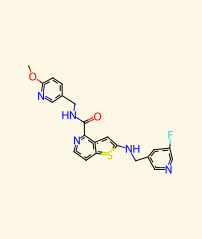 COc1ccc(CNC(=O)c2nccc3sc(NCc4cncc(F)c4)cc23)cn1